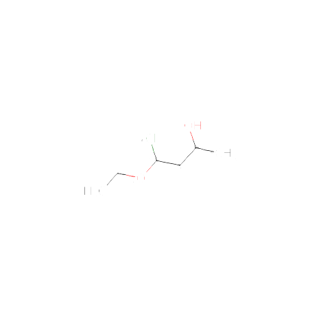 CCOC(Cl)CC(C)O